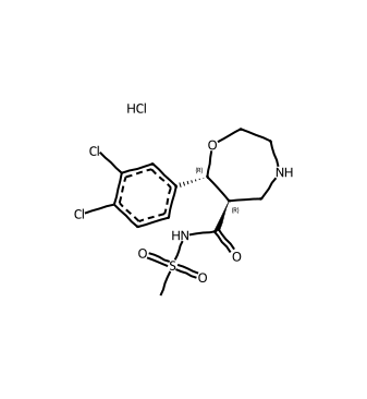 CS(=O)(=O)NC(=O)[C@@H]1CNCCO[C@H]1c1ccc(Cl)c(Cl)c1.Cl